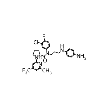 Cc1cc(C(F)(F)F)cc(N2CCC[C@H]2C(=O)N(CCCNc2ccc(N)cc2)c2ccc(F)c(Cl)c2)n1